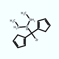 C[SiH2][SiH]([SiH2]C)[C]([Zr])(C1=CC=CC1)C1=CC=CC1